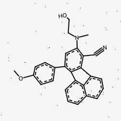 COc1ccc(-c2cc(N(C)CCO)c(C#N)c3c2-c2cccc4cccc-3c24)cc1